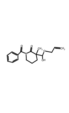 C=CCOC(O)C1(C)CCCN(C(=O)c2ccccc2)C1=O